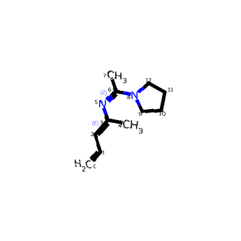 C=C/C=C(C)/N=C(/C)N1CCCC1